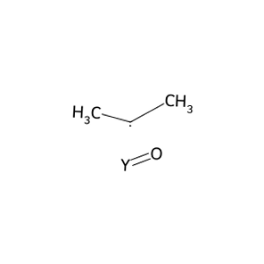 C[CH]C.[O]=[Y]